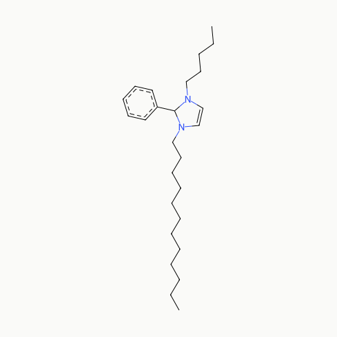 CCCCCCCCCCCCN1C=CN(CCCCC)C1c1ccccc1